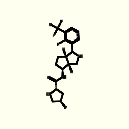 O=C(N[C@H]1CC[C@@H]2C(c3cccc(C(F)(F)F)c3F)NC[C@H]12)[C@@H]1C[C@@H](F)CN1